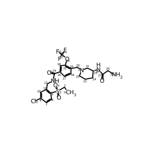 CCS(=O)(=O)c1ccc(Cl)cc1CNC(=O)c1ccc(CN2CCC[C@H](NC(=O)CN)C2)c(OC(F)(F)F)c1